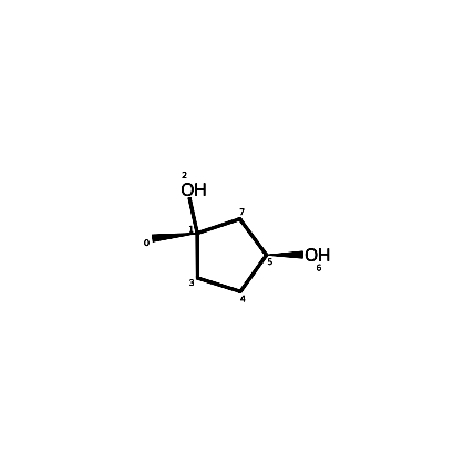 C[C@]1(O)CC[C@H](O)C1